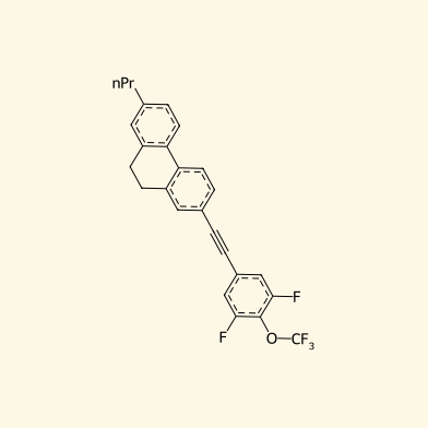 CCCc1ccc2c(c1)CCc1cc(C#Cc3cc(F)c(OC(F)(F)F)c(F)c3)ccc1-2